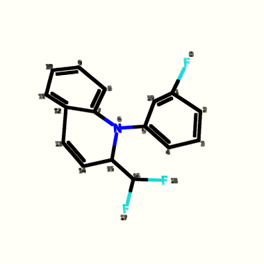 Fc1cccc(N2c3ccccc3C=CC2C(F)F)c1